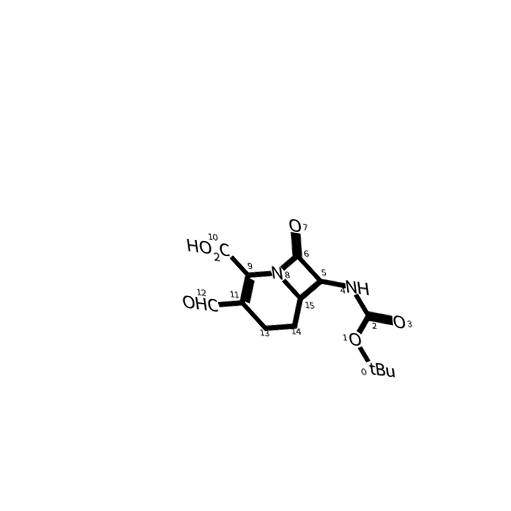 CC(C)(C)OC(=O)NC1C(=O)N2C(C(=O)O)=C(C=O)CCC12